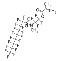 C=C(C)C(=O)OC(F)(F)C(F)(F)N(C)S(=O)(=O)C(F)(F)C(F)(F)C(F)(F)C(F)(F)C(F)(F)C(F)(F)C(F)(F)C(F)(F)F